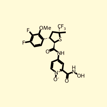 COc1c([C@@H]2C[C@](C)(C(F)(F)F)S[C@H]2C(=O)Nc2cc[n+]([O-])c(C(=O)NO)c2)ccc(F)c1F